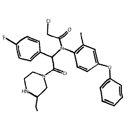 Cc1cc(Oc2ccccc2)ccc1N(C(=O)CCl)C(C(=O)N1CCNC(C)C1)c1ccc(F)cc1